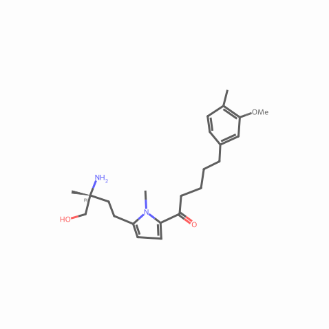 COc1cc(CCCCC(=O)c2ccc(CC[C@@](C)(N)CO)n2C)ccc1C